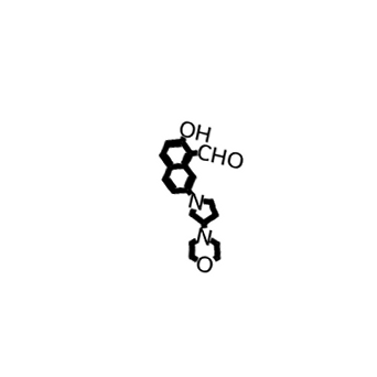 O=Cc1c(O)ccc2ccc(N3CCC(N4CCOCC4)C3)cc12